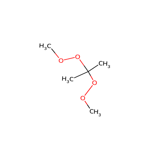 COOC(C)(C)OOC